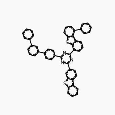 c1ccc(-c2cccc(-c3ccc(-c4nc(-c5ccc6c(c5)sc5ccccc56)nc(-c5cccc6c5sc5cccc(-c7ccccc7)c56)n4)cc3)c2)cc1